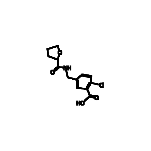 O=C(O)c1cc(CNC(=O)C2CCCO2)ccc1Cl